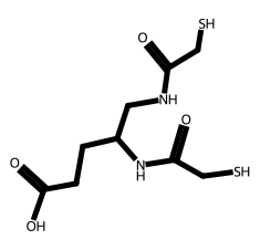 O=C(O)CCC(CNC(=O)CS)NC(=O)CS